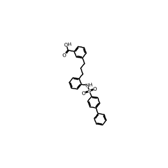 O=C(O)c1cccc(CCCc2ccccc2NS(=O)(=O)c2ccc(-c3ccccc3)cc2)c1